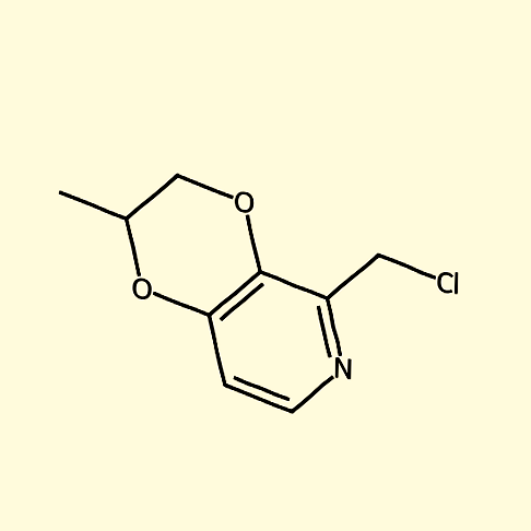 CC1COc2c(ccnc2CCl)O1